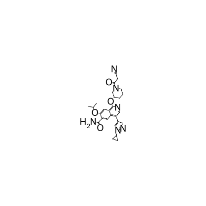 CC(C)Oc1cc2c(O[C@@H]3CCCN(C(=O)CC#N)C3)ncc(-c3cnn(C4CC4)c3)c2cc1C(N)=O